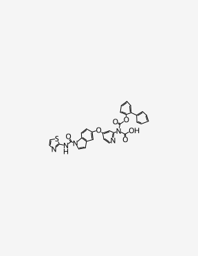 O=C(O)N(C(=O)Oc1ccccc1-c1ccccc1)c1cc(Oc2ccc3c(ccn3C(=O)Nc3nccs3)c2)ccn1